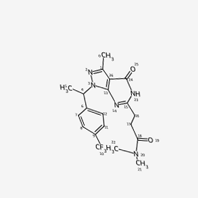 Cc1nn(C(C)c2ccc(C(F)(F)F)cc2)c2nc(CCC(=O)N(C)C)[nH]c(=O)c12